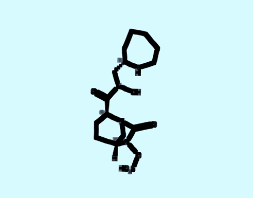 O=C([C@@H]1CC[C@@H]2CN1C(=O)N2OS(=O)(=O)O)N(O)C[C@@H]1CCCCCN1